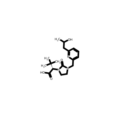 CC(O)Cc1cccc(CN2CCN([C@H](C(=O)O)C(C)(C)C)C2=O)n1